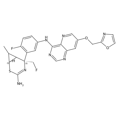 CC1C2[C@H]1SC(N)=N[C@]2(CF)c1cc(Nc2ncnc3cc(OCc4ncco4)cnc23)ccc1F